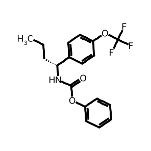 CCC[C@@H](NC(=O)Oc1ccccc1)c1ccc(OC(F)(F)F)cc1